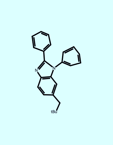 CC(C)(C)Cc1ccc2nc(-c3ccccc3)n(-c3ccccc3)c2c1